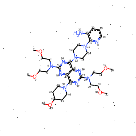 COCCN(CCOC)c1nc(N2CCN(c3ncccc3N)CC2)c2nc(N(CCOC)CCOC)nc(N3CCC(OC)CC3)c2n1